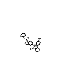 COc1ccc(C2=C(C(=O)Nc3ccc4c(c3)CCN4C(=O)Cc3ccccn3)CCCC2)cc1